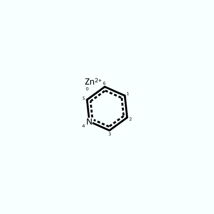 [Zn+2].c1ccncc1